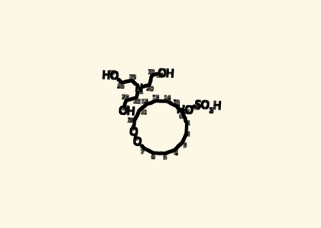 C1CCCCCCCOOCCCCCC1.O=S(=O)(O)O.OCCN(CCO)CCO